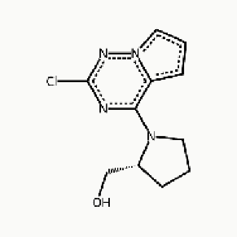 OC[C@H]1CCCN1c1nc(Cl)nn2cccc12